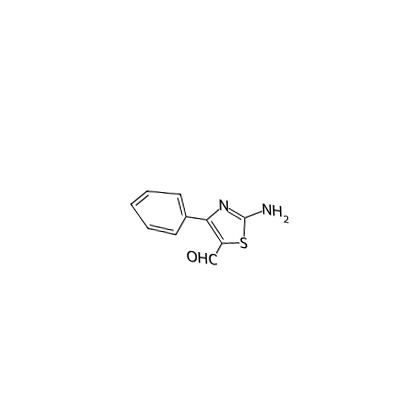 Nc1nc(-c2ccccc2)c(C=O)s1